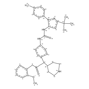 COc1ccccc1CC(=O)C(c1ccc(NC(=O)Nc2cc(C(C)(C)C)nn2-c2ccc(C)cc2)cc1)C1CCNCC1